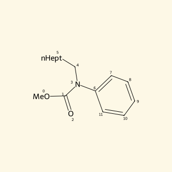 [CH2]OC(=O)N(CCCCCCCC)c1ccccc1